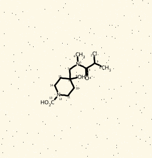 CC(Cl)C(=O)N(C)CC1(O)CCN(C(=O)O)CC1